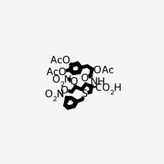 CC(=O)Oc1ccc(CC(OC(C)=O)C(=O)N[C@@](CCC(CO[N+](=O)[O-])O[N+](=O)[O-])(CSCc2ccccc2)C(=O)O)cc1OC(C)=O